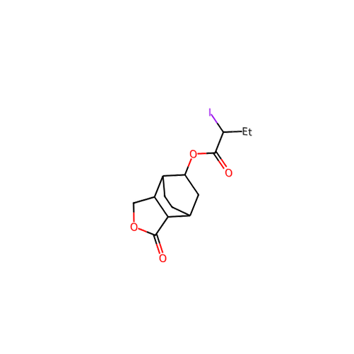 CCC(I)C(=O)OC1CC2CCC1C1COC(=O)C21